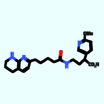 COc1ccc(C(CCNC(=O)CCCCc2ccc3c(n2)NCCC3)C(=O)O)cn1